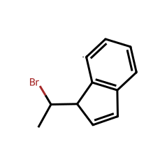 CC(Br)C1C=Cc2ccc[c]c21